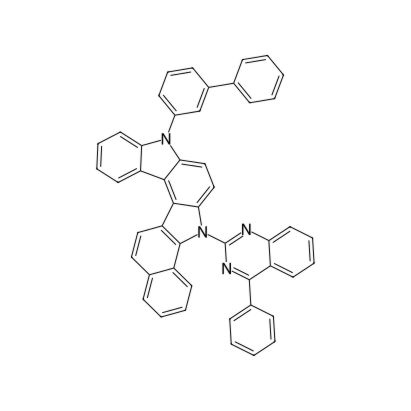 c1ccc(-c2cccc(-n3c4ccccc4c4c5c6ccc7ccccc7c6n(-c6nc(-c7ccccc7)c7ccccc7n6)c5ccc43)c2)cc1